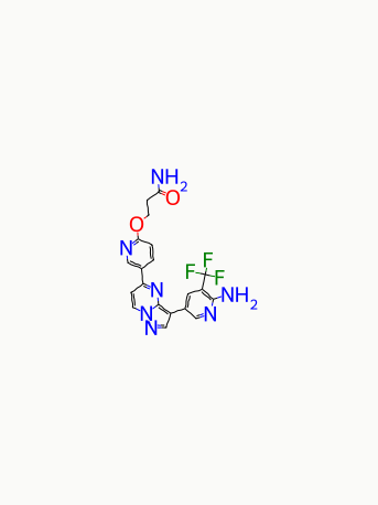 NC(=O)CCOc1ccc(-c2ccn3ncc(-c4cnc(N)c(C(F)(F)F)c4)c3n2)cn1